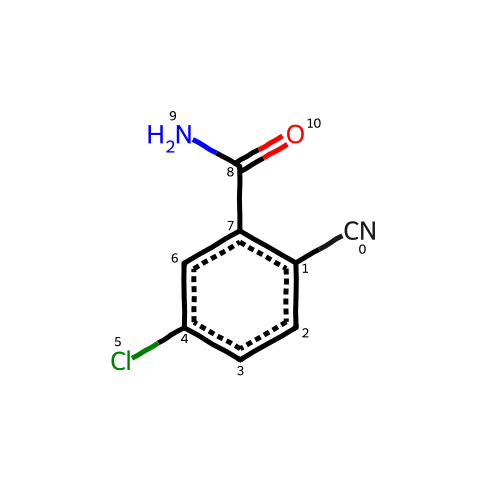 N#Cc1ccc(Cl)cc1C(N)=O